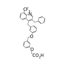 O=C(O)COc1cccc(COc2cccc(Cc3c(Cc4ccccc4)cnc4c(C(F)(F)F)cccc34)c2)c1